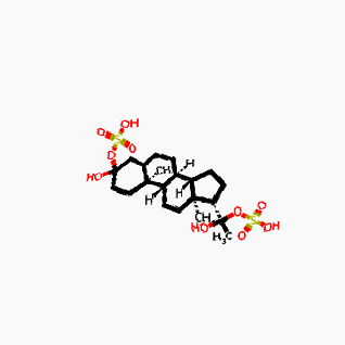 CC(O)(OS(=O)(=O)O)[C@H]1CC[C@H]2[C@@H]3CCC4CC(O)(OS(=O)(=O)O)CC[C@]4(C)[C@H]3CC[C@]12C